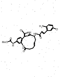 COC(=O)Nc1ccc2c(c1)NC(=O)CC/C=C/C[C@H](NC(=O)/C=C/c1cc(Cl)ccc1N)c1nc-2c(Cl)[nH]1